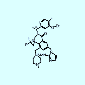 CCOc1cc([C@H](C)N2C[C@@]3(CC3(F)F)c3c(CN4CCN(C)CC4)cc(Cn4ccnc4NC)cc3C2=O)ncc1F